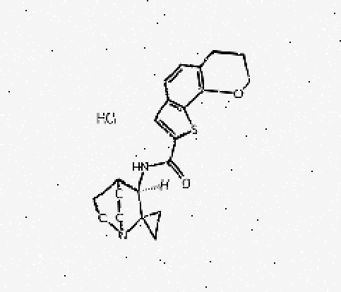 Cl.O=C(N[C@@H]1C2CCN(CC2)C12CC2)c1cc2ccc3c(c2s1)OCCC3